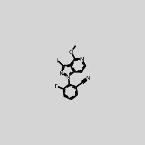 COc1nccc2c1c(I)nn2-c1c(F)cccc1C#N